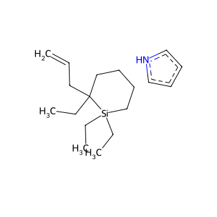 C=CCC1(CC)CCCC[Si]1(CC)CC.c1cc[nH]c1